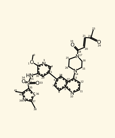 COc1ncc(-c2ccc3nccc(N4CCN(C(=O)C=CC(C)=O)CC4)c3c2)cc1NS(=O)(=O)c1sc(C)nc1C